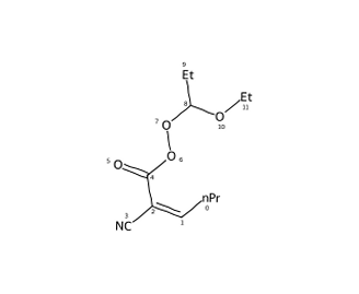 CCCC=C(C#N)C(=O)OOC(CC)OCC